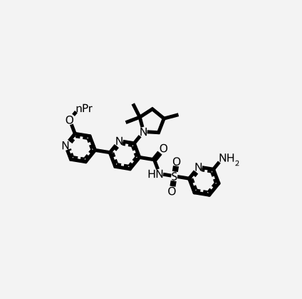 CCCOc1cc(-c2ccc(C(=O)NS(=O)(=O)c3cccc(N)n3)c(N3CC(C)CC3(C)C)n2)ccn1